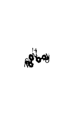 c1cc(Nc2cccc(-c3cccc4ncoc34)c2)cc(-c2ccc3ncoc3c2)c1